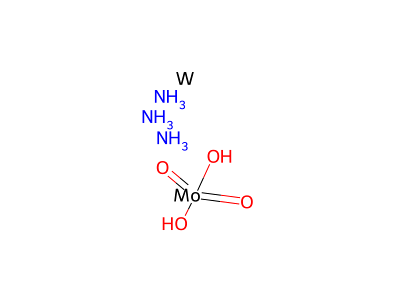 N.N.N.[O]=[Mo](=[O])([OH])[OH].[W]